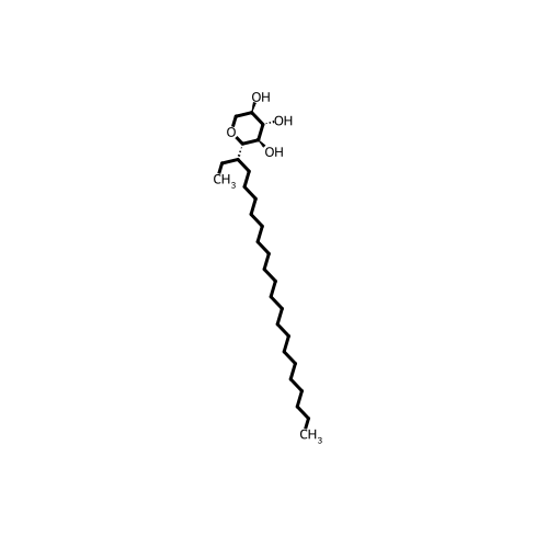 CCCCCCCCCCCCCCCCCCCCC(CC)[C@@H]1OC[C@@H](O)[C@H](O)[C@H]1O